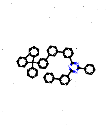 c1ccc(-c2cccc(-c3nc(-c4ccccc4)nc(-c4cccc(-c5cccc(-c6cccc(C7(c8ccccc8)c8ccccc8-c8ccccc87)c6)c5)c4)n3)c2)cc1